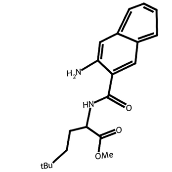 COC(=O)C(CCC(C)(C)C)NC(=O)c1cc2ccccc2cc1N